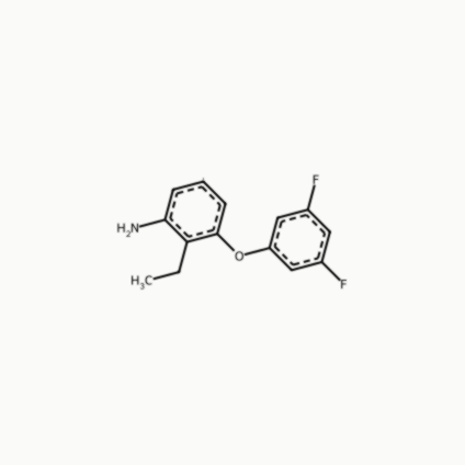 CCc1c(N)c[c]cc1Oc1cc(F)cc(F)c1